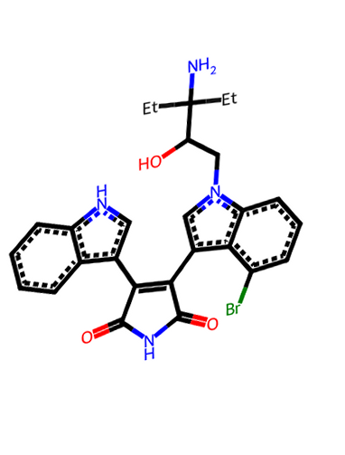 CCC(N)(CC)C(O)Cn1cc(C2=C(c3c[nH]c4ccccc34)C(=O)NC2=O)c2c(Br)cccc21